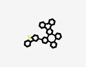 c1ccc2c(c1)-c1ccccc1-c1cc3c4ccccc4c4ccccc4c3cc1-c1cc(-c3ccc4sc5ccccc5c4c3)ccc1-2